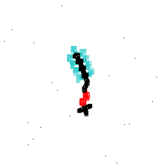 CC(C)(C)OOCCC(F)(F)C(F)(F)C(F)(F)C(F)(F)F